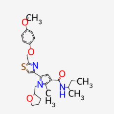 CCC(C)NC(=O)c1cc(-c2csc(COc3ccc(OC)cc3)n2)n(CC2CCCO2)c1C